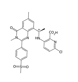 Cc1cc([C@@H](C)Nc2ccc(Cl)nc2C(=O)O)c2nc(-c3ccc(S(C)(=O)=O)cc3)n(C)c(=O)c2c1